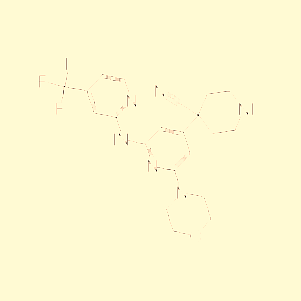 N#CC1(c2cc(Nc3cc(C(F)(F)F)ccn3)nc(N3CCOCC3)c2)CCNCC1